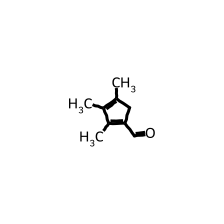 CC1=C(C)C(C)=C(C=O)C1